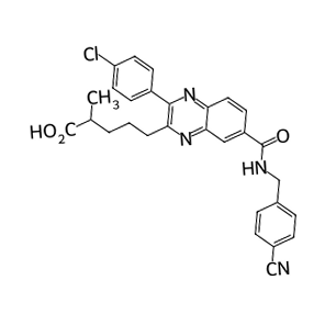 CC(CCCc1nc2cc(C(=O)NCc3ccc(C#N)cc3)ccc2nc1-c1ccc(Cl)cc1)C(=O)O